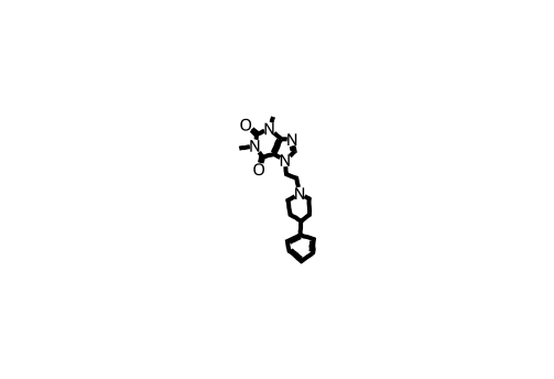 Cn1c(=O)c2c(ncn2CCN2CCC(c3ccccc3)CC2)n(C)c1=O